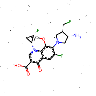 COc1c(N2C[C@H](CF)[C@H](N)C2)c(F)cc2c(=O)c(C(=O)O)cn([C@@H]3C[C@@H]3F)c12